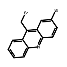 BrCc1c2ccccc2nc2ccc(Br)cc12